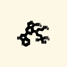 CC(C)[C@@](C)(O)CCN(CCN)c1nc(-c2c[nH]c3ncccc23)cc2cnn(C)c12